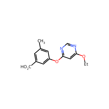 CCOc1cc(Oc2cc(C)cc(C(=O)O)c2)ncn1